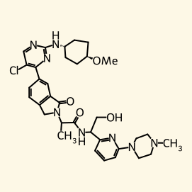 CO[C@H]1CC[C@H](Nc2ncc(Cl)c(-c3ccc4c(c3)C(=O)N(C(C)C(=O)NC(CO)c3cccc(N5CCN(C)CC5)n3)C4)n2)CC1